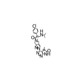 CC(C)NC[C@@H](C(=O)N1Cc2cn(-c3ncnc4c3[C@@H](C)C(=O)N4)nc2C1)c1ccc(Cl)cc1